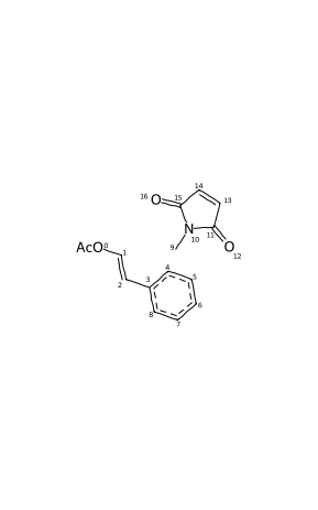 CC(=O)OC=Cc1ccccc1.CN1C(=O)C=CC1=O